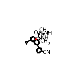 CN1C(=N)N[C@](C)(c2cccc(-c3cccc(C#N)c3)c2)[C@@H](c2ccc(C3CC3)cc2)C1=O